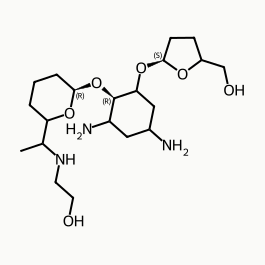 CC(NCCO)C1CCC[C@@H](O[C@@H]2C(N)CC(N)CC2O[C@H]2CCC(CO)O2)O1